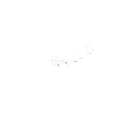 CC1=NN(CCCC(=O)O)C(=O)/C1=N\Nc1cccc(/C=C/c2cccc(Cl)c2)c1O